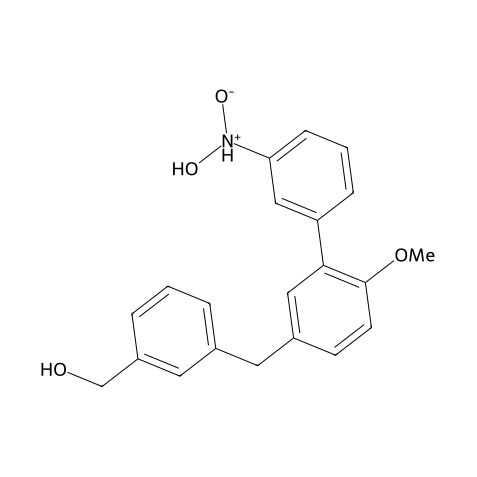 COc1ccc(Cc2cccc(CO)c2)cc1-c1cccc([NH+]([O-])O)c1